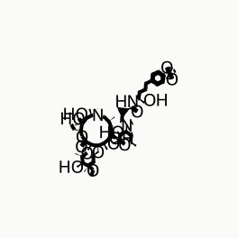 CC[C@H]1OC(=O)[C@H](C)[C@@H](O[C@H]2C[C@@](C)(OC)[C@@H](O)[C@H](C)O2)[C@H](C)[C@@H](O[C@@H]2O[C@H](C)C[C@H](N(C)CC3C[C@H]3C(=O)N[C@H](CO)CCCc3ccc(S(C)(=O)=O)cc3)[C@H]2O)[C@](C)(O)C[C@@H](C)CN(C)[C@H](C)[C@@H](O)[C@]1(C)O